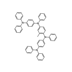 Cc1cc(N(c2ccccc2)c2ccc(N(c3ccccc3)c3ccccc3)cc2)ccc1N(c1ccccc1)c1ccc(N(c2ccccc2)c2ccccc2)cc1